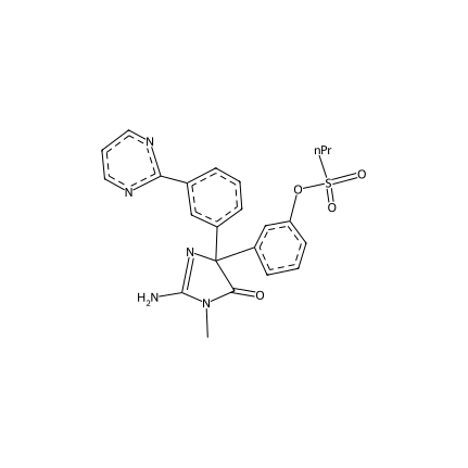 CCCS(=O)(=O)Oc1cccc(C2(c3cccc(-c4ncccn4)c3)N=C(N)N(C)C2=O)c1